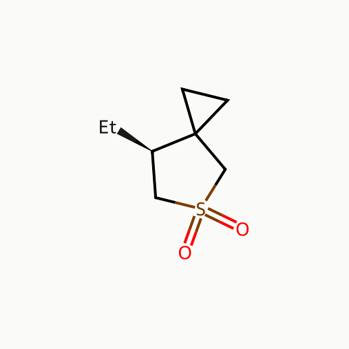 CC[C@@H]1CS(=O)(=O)CC12CC2